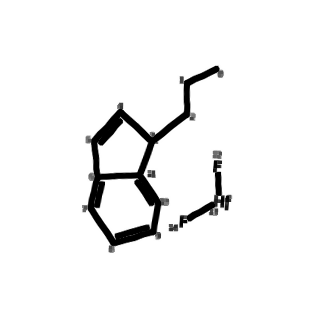 CCC[C]1C=Cc2ccccc21.[F][Hf][F]